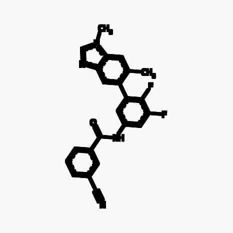 Cc1cc2c(cc1-c1cc(NC(=O)c3cccc(C#N)c3)cc(F)c1F)ncn2C